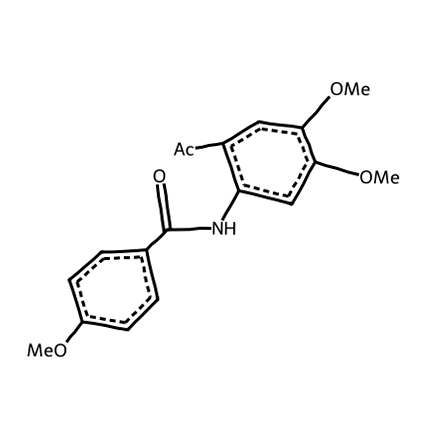 COc1ccc(C(=O)Nc2cc(OC)c(OC)cc2C(C)=O)cc1